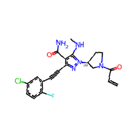 C=CC(=O)N1CC[C@H](n2nc(C#Cc3cc(Cl)ccc3F)c(C(N)=O)c2NC)C1